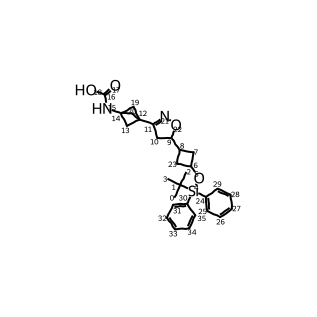 CC(C)(C)[Si](OC1CC(C2CC(C34CC(NC(=O)O)(C3)C4)=NO2)C1)(c1ccccc1)c1ccccc1